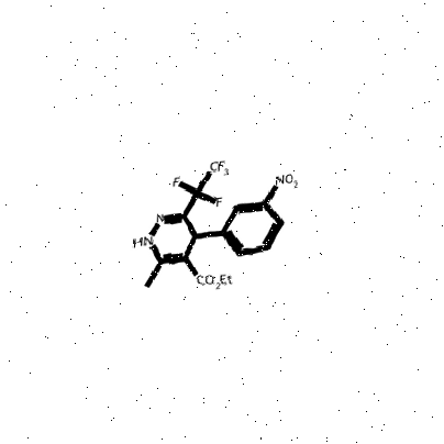 CCOC(=O)C1=C(C)NN=C(C(F)(F)C(F)(F)F)C1c1cccc([N+](=O)[O-])c1